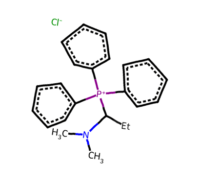 CCC(N(C)C)[P+](c1ccccc1)(c1ccccc1)c1ccccc1.[Cl-]